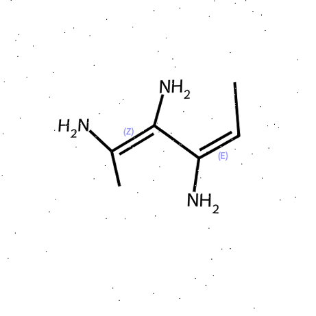 C/C=C(N)\C(N)=C(/C)N